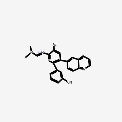 CC(=O)c1cc(-c2ccc3ncccc3c2)c(-c2cccc(C#N)c2)nc1/N=C/N(C)C